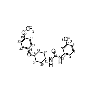 O=C(Nc1cccc(C(F)(F)F)c1)N[C@H]1CC[C@H](Oc2ccc(OC(F)(F)F)cc2)CC1